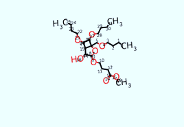 CCCCOCC12O[C@@H](OCCCC(=O)OC)[C@H](O)C1[C@@H](OCCCC)[C@@H]2OCCCC